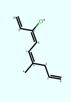 C=CC/C(C)=C\C=C(\Cl)C=C